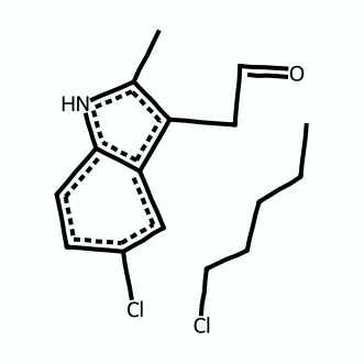 CCCCCCl.Cc1[nH]c2ccc(Cl)cc2c1CC=O